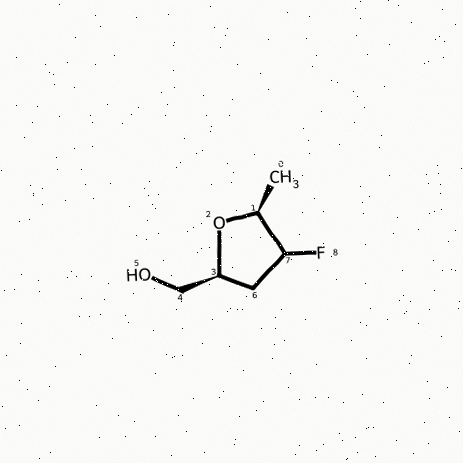 C[C@@H]1O[C@H](CO)CC1F